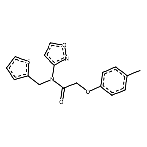 Cc1ccc(OCC(=O)N(Cc2cccs2)c2ccon2)cc1